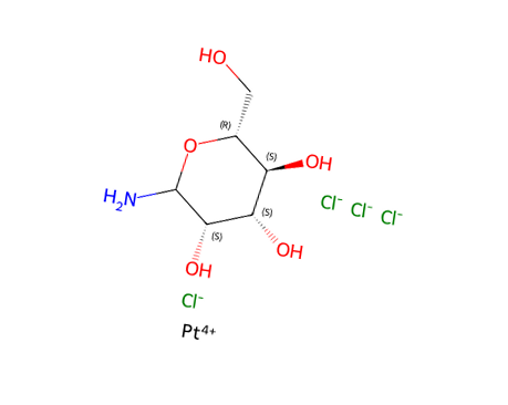 NC1O[C@H](CO)[C@@H](O)[C@H](O)[C@@H]1O.[Cl-].[Cl-].[Cl-].[Cl-].[Pt+4]